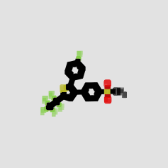 CS(=O)(=O)c1ccc(-c2cc(C(F)(F)C(F)(F)F)sc2-c2ccc(F)cc2)cc1